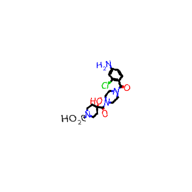 Nc1ccc(C(=O)N2CCN(C(=O)C3(O)CCN(C(=O)O)CC3)CC2)c(Cl)c1